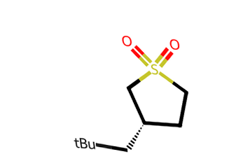 CC(C)(C)C[C@H]1CCS(=O)(=O)C1